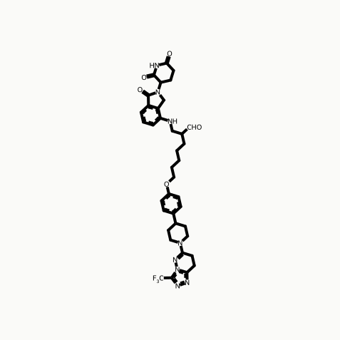 O=CC(CCCCCOc1ccc(C2CCN(C3=Nn4c(nnc4C(F)(F)F)CC3)CC2)cc1)CNc1cccc2c1CN(C1CCC(=O)NC1=O)C2=O